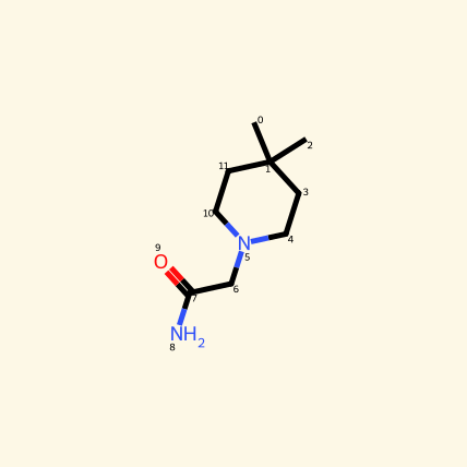 CC1(C)CCN(CC(N)=O)CC1